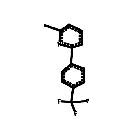 Cc1cccc(-c2ccc(C(F)(F)F)cc2)n1